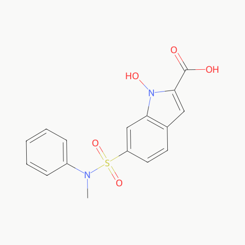 CN(c1ccccc1)S(=O)(=O)c1ccc2cc(C(=O)O)n(O)c2c1